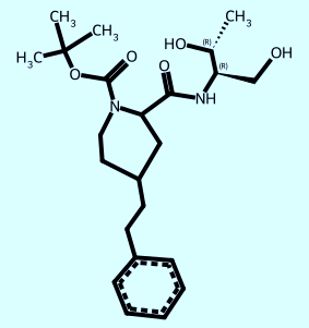 C[C@@H](O)[C@@H](CO)NC(=O)C1CC(CCc2ccccc2)CCN1C(=O)OC(C)(C)C